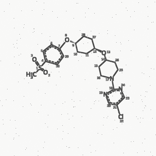 CS(=O)(=O)c1ccc(O[C@H]2CC[C@H](OC3CCN(c4ncc(Cl)cn4)CC3)CC2)cc1